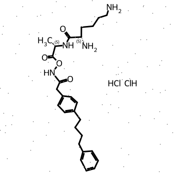 C[C@H](NC(=O)[C@@H](N)CCCCN)C(=O)ONC(=O)Cc1ccc(CCCCc2ccccc2)cc1.Cl.Cl